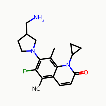 Cc1c(N2CCC(CN)C2)c(F)c(C#N)c2ccc(=O)n(C3CC3)c12